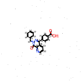 O=C(O)c1ccc(-c2nn(Cc3ccccc3)c(=O)c3ncccc23)cc1